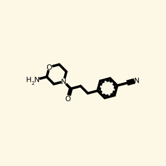 N#Cc1ccc(CCC(=O)N2CCOC(N)C2)cc1